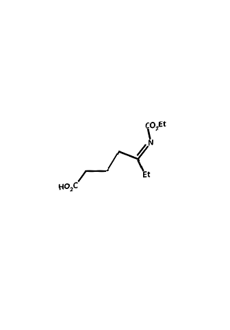 CCOC(=O)N=C(CC)CCCC(=O)O